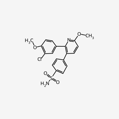 COc1ccc(-c2ccc(S(N)(=O)=O)cc2)c(-c2ccc(OC)c(Cl)c2)n1